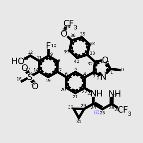 Cc1nc(-c2cc(-c3cc(F)c(CO)c(S(C)(=O)=O)c3)ccc2N/C(=C\C(=N)C(F)(F)F)C2CC2)c(-c2ccc(OC(F)(F)F)cc2)o1